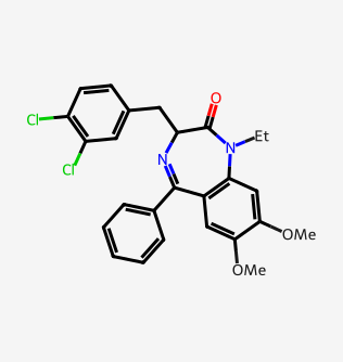 CCN1C(=O)C(Cc2ccc(Cl)c(Cl)c2)N=C(c2ccccc2)c2cc(OC)c(OC)cc21